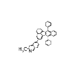 Cc1cc2cc(-c3cc4c5c(cccc5c3)-c3c-4c(-c4ccccc4)c4ccccc4c3-c3ccccc3)ccc2cn1